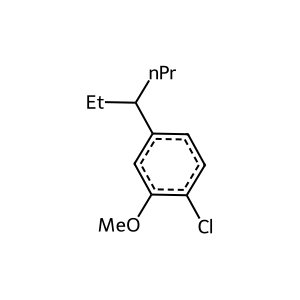 CCCC(CC)c1ccc(Cl)c(OC)c1